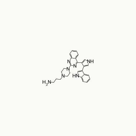 NCCCN1CCN(c2nc(-c3c[nH]cc3-c3c[nH]c4ccccc34)c3ccccc3n2)CC1